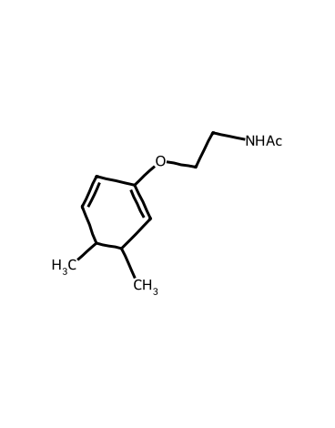 CC(=O)NCCOC1=CC(C)C(C)C=C1